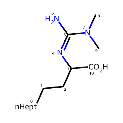 CCCCCCCCCC(N=C(N)N(C)C)C(=O)O